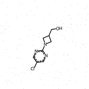 OCC1CN(c2ncc(Cl)cn2)C1